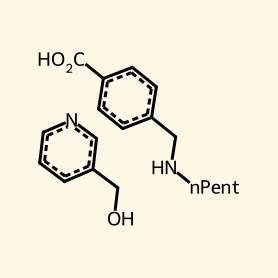 CCCCCNCc1ccc(C(=O)O)cc1.OCc1cccnc1